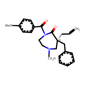 C=CC[C@]1(Cc2ccccc2)CN(C(=O)O)CCN(C(=O)c2ccc(OC)cc2)C1=O